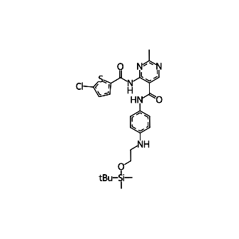 Cc1ncc(C(=O)Nc2ccc(NCCO[Si](C)(C)C(C)(C)C)cc2)c(NC(=O)c2ccc(Cl)s2)n1